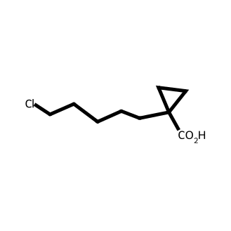 O=C(O)C1(CCCCCCl)CC1